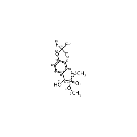 COP(=O)(OC)C(O)c1ccc(OC(F)(F)F)cc1